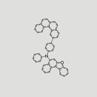 c1ccc(N(c2ccc(-c3ccc4ccc5ccc6ccccc6c5c4c3)cc2)c2cc3oc4ccccc4c3c3ccccc23)cc1